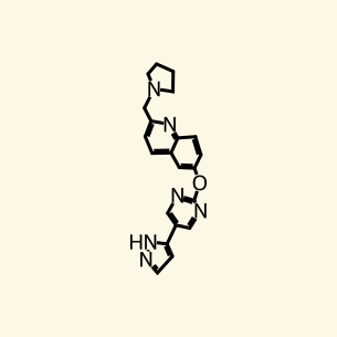 c1cc(-c2cnc(Oc3ccc4nc(CN5CCCC5)ccc4c3)nc2)[nH]n1